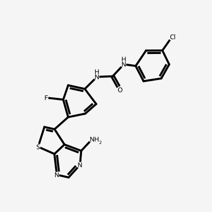 Nc1ncnc2scc(-c3ccc(NC(=O)Nc4cccc(Cl)c4)cc3F)c12